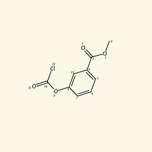 COC(=O)c1cccc(OC(=O)Cl)c1